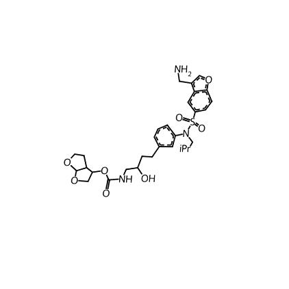 CC(C)CN(c1cccc(CCC(O)CNC(=O)OC2COC3OCCC23)c1)S(=O)(=O)c1ccc2occ(CN)c2c1